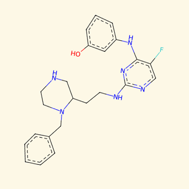 Oc1cccc(Nc2nc(NCCC3CNCCN3Cc3ccccc3)ncc2F)c1